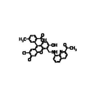 CC(=O)c1ccc2cccc(NCc3c(O)ccc4c(-c5cc(C)ccc5C(=O)O)c5cc(Cl)c(=O)cc-5oc34)c2n1